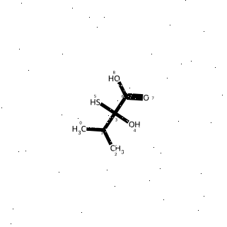 CC(C)C(O)(S)C(=O)O